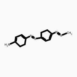 CN=NC1=CC=C(N=NC2=CC=C(N)CC2)CC1